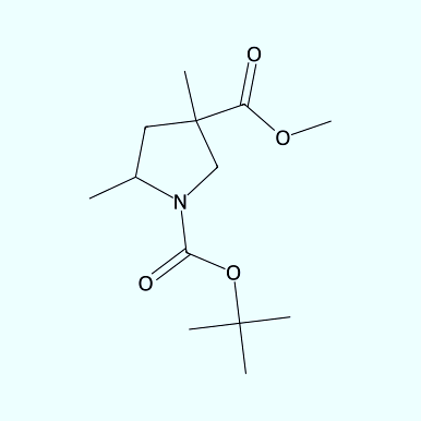 COC(=O)C1(C)CC(C)N(C(=O)OC(C)(C)C)C1